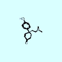 CN(C)CC[C@]1(c2ccc(O)cc2)C=CC(=O)CC1